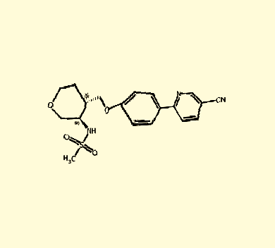 CS(=O)(=O)N[C@H]1COCC[C@@H]1COc1ccc(-c2ccc(C#N)cn2)cc1